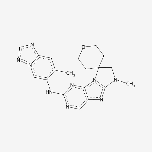 Cc1cc2ncnn2cc1Nc1ncc2nc3n(c2n1)C1(CCOCC1)CN3C